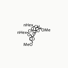 CCCCCCC(C)OCC1(COCC2(COC(C)CCCCCC)CCC(COC)O2)CCC(COC)O1